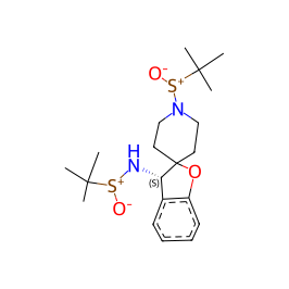 CC(C)(C)[S+]([O-])N[C@H]1c2ccccc2OC12CCN([S+]([O-])C(C)(C)C)CC2